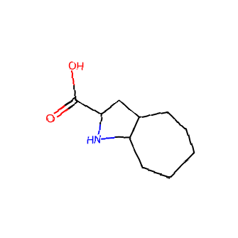 O=C(O)C1CC2CCCCCC2N1